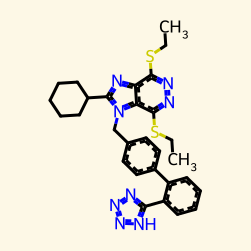 CCSc1nnc(SCC)c2c1nc(C1CCCCC1)n2Cc1ccc(-c2ccccc2-c2nnn[nH]2)cc1